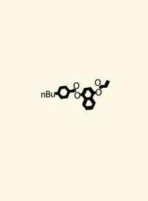 C=CC(=O)Oc1ccc(OC(=O)C2CCC(CCCC)CC2)c2ccccc12